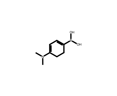 CN(C)C1=CC=C(B(O)O)CC1